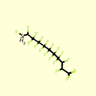 F[SiH2]C(F)C(F)(F)C(F)(F)C(F)(F)C(F)(F)C(F)(F)C(F)(F)C(F)C(F)C(F)F